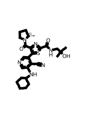 C[C@H]1CCCN1C(=O)c1nc(C(=O)NCC(C)(C)O)sc1-c1cncc(NC2CCCCC2)c1C#N